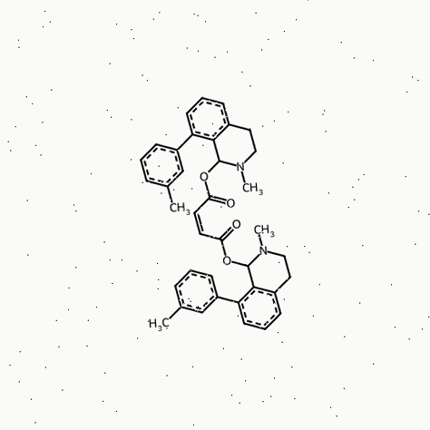 Cc1cccc(-c2cccc3c2C(OC(=O)/C=C\C(=O)OC2c4c(cccc4-c4cccc(C)c4)CCN2C)N(C)CC3)c1